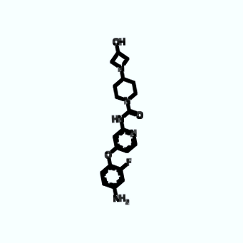 Nc1ccc(Oc2ccnc(NC(=O)N3CCC(N4CC(O)C4)CC3)c2)c(F)c1